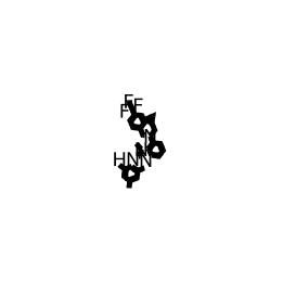 Cc1cc(C)c(Nc2nc3cccc(N(Cc4ccc(C(F)(F)F)cc4)CC4CC4)c3n2C)c(C)c1